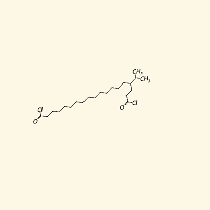 CC(C)C(CCCCCCCCCCCCCCC(=O)Cl)CCC(=O)Cl